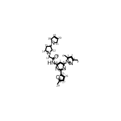 Cc1cc(C)n(-c2cc(NC(=O)CN3CCC(N4CC=CC4)C3)nc(-c3ccc(C)o3)n2)n1